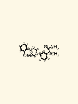 COc1ccccc1N1CCN(c2cccc(C(C)C(N)=O)c2)CC1